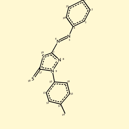 Cc1ccc(N=Nc2nn(-c3ccc(C)cc3)c(=S)s2)cc1